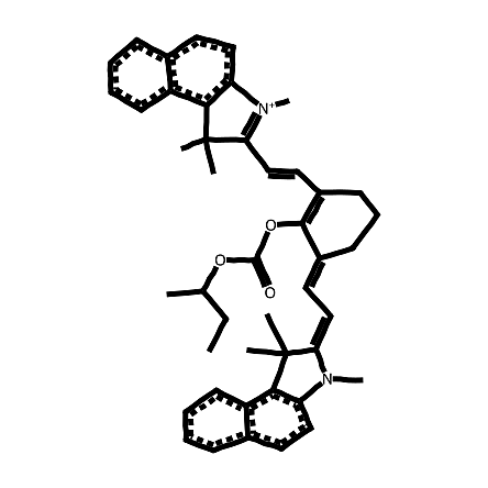 CCC(C)OC(=O)OC1=C(/C=C/C2=[N+](C)c3ccc4ccccc4c3C2(C)C)CCC/C1=C\C=C1\N(C)c2ccc3ccccc3c2C1(C)C